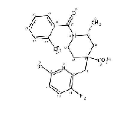 C[C@@H]1CC(Cc2nc(Br)ccc2F)(C(=O)O)CCN1C(=O)c1ccccc1C(F)(F)F